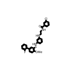 COc1ccc(-c2ccccc2F)cc1SNc1cccc(NCCNC(=O)c2cccc(Cl)c2)c1